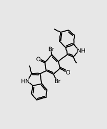 Cc1ccc2[nH]c(C)c(C3=C(Br)C(=O)C(c4c(C)[nH]c5ccccc45)=C(Br)C3=O)c2c1